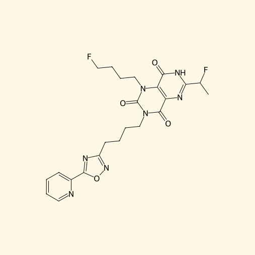 CC(F)c1nc2c(=O)n(CCCCc3noc(-c4ccccn4)n3)c(=O)n(CCCCF)c2c(=O)[nH]1